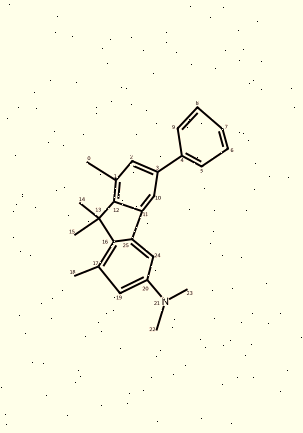 Cc1cc(-c2ccccc2)cc2c1C(C)(C)c1c(C)cc(N(C)C)cc1-2